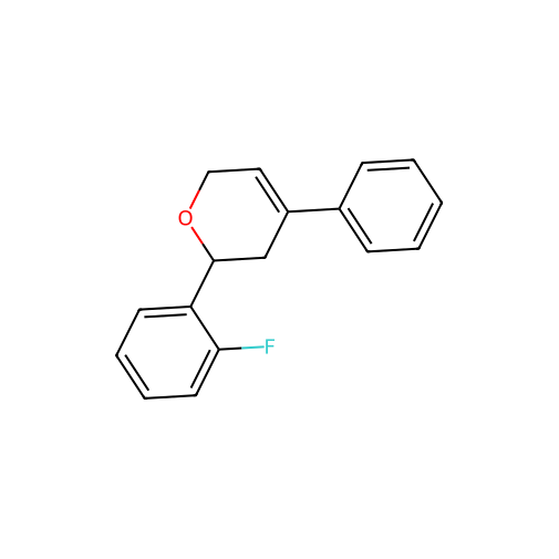 Fc1ccccc1C1CC(c2ccccc2)=CCO1